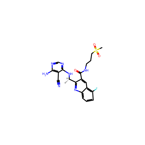 C[C@H](Nc1ncnc(N)c1C#N)c1nc2cccc(F)c2cc1C(=O)NCCCS(C)(=O)=O